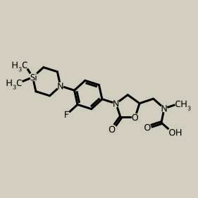 CN(CC1CN(c2ccc(N3CC[Si](C)(C)CC3)c(F)c2)C(=O)O1)C(=O)O